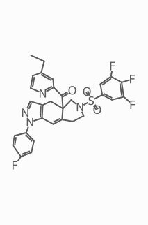 CCc1ccnc(C(=O)C23Cc4cnn(-c5ccc(F)cc5)c4C=C2CCN(S(=O)(=O)c2cc(F)c(F)c(F)c2)C3)c1